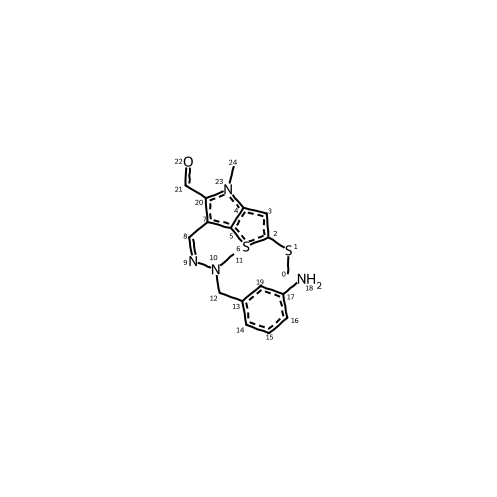 CSc1cc2c(s1)c(/C=N\N(C)Cc1cccc(N)c1)c(C=O)n2C